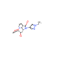 COC(=O)CC1c2c(ccc[n+]2O)C(=O)N1c1cnn(CC(F)(F)F)c1